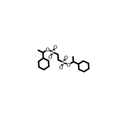 CC(OS(=O)(=O)CCS(=O)(=O)OC(C)C1CCCCC1)C1CCCCC1